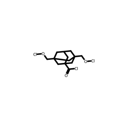 O=C(Cl)C12CC3CC(COCl)(CC(COCl)(C3)C1)C2